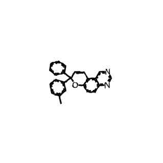 Cc1cccc(C2(c3ccccc3)C=Cc3c(ccc4ncncc34)O2)c1